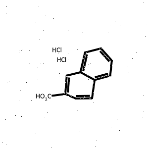 Cl.Cl.O=C(O)c1ccc2ccccc2c1